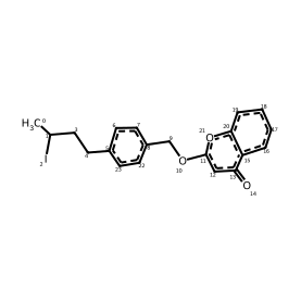 CC(I)CCc1ccc(COc2cc(=O)c3ccccc3o2)cc1